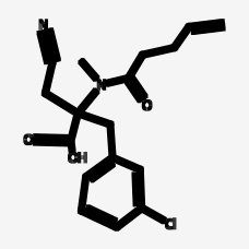 C=CCCC(=O)N(C)C(CC#N)(Cc1cccc(Cl)c1)C(=O)O